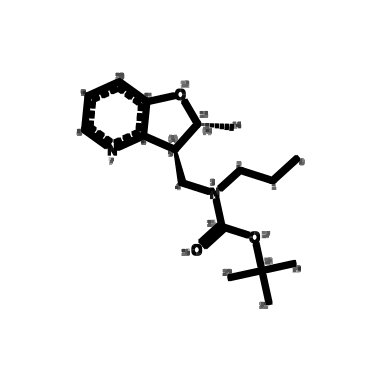 CCCN(C[C@H]1c2ncccc2O[C@@H]1C)C(=O)OC(C)(C)C